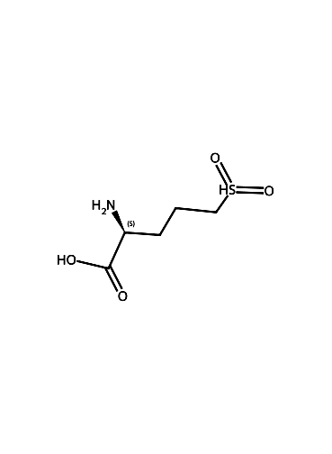 N[C@@H](CCC[SH](=O)=O)C(=O)O